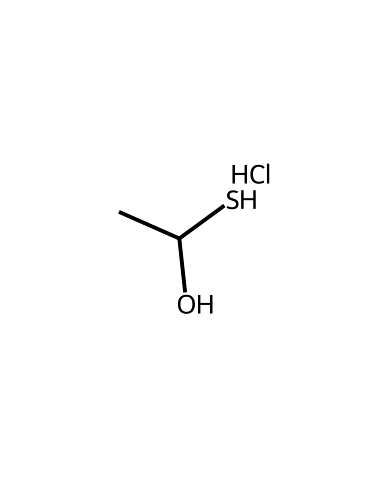 CC(O)S.Cl